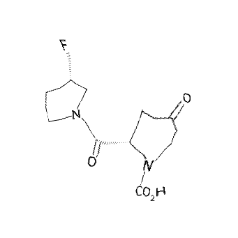 O=C1C[C@@H](C(=O)N2CC[C@H](F)C2)N(C(=O)O)C1